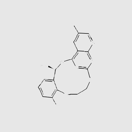 C[C@H]1Nc2nc(nc3ncc(Br)cc23)OCCOc2c1cccc2C(F)(F)F